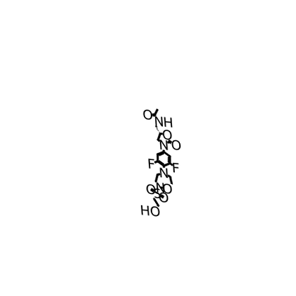 CC(=O)NC[C@H]1CN(c2cc(F)c(N3CCON(S(=O)(=O)CCO)CC3)c(F)c2)C(=O)O1